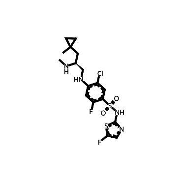 CN[C@H](CNc1cc(F)c(S(=O)(=O)Nc2ncc(F)s2)cc1Cl)CC1(C)CC1